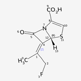 C/C(CF)=C1\C(=O)N2C(C(=O)O)=CS[C@H]12